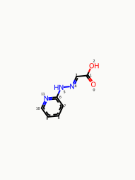 O=C(O)C=NNc1ccccn1